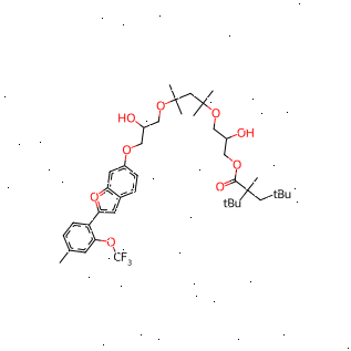 Cc1ccc(-c2cc3ccc(OCC(O)COC(C)(C)CC(C)(C)OCC(O)COC(=O)C(C)(CC(C)(C)C)C(C)(C)C)cc3o2)c(OC(F)(F)F)c1